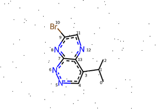 CC(C)c1cnnc2nc(Br)cnc12